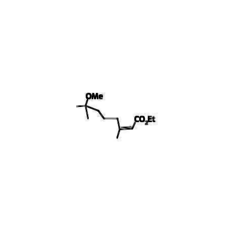 CCOC(=O)C=C(C)CCCC(C)(C)OC